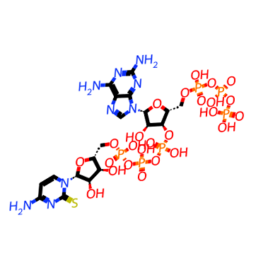 Nc1ccn([C@@H]2O[C@H](COP(=O)(O)OP(=O)(O)OP(=O)(O)O[C@H]3[C@@H](O)[C@H](n4cnc5c(N)nc(N)nc54)O[C@@H]3COP(=O)(O)OP(=O)(O)OP(=O)(O)O)[C@@H](O)[C@H]2O)c(=S)n1